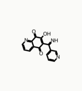 N=C(C1=C(O)C(=O)c2ncccc2C1=O)c1cccnc1